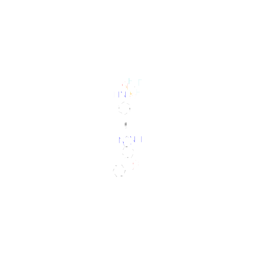 CC(=O)c1ccccc1-c1ccc2[nH]c(C#Cc3ccc(NS(=O)(=O)C(F)(F)F)cc3)nc2c1